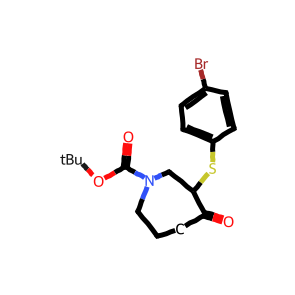 CC(C)(C)OC(=O)N1CCCC(=O)C(Sc2ccc(Br)cc2)C1